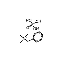 C[N+](C)(C)Cc1ccccc1.O=P(O)(O)O